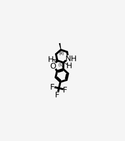 C[C@H]1CN[C@H]2c3ccc(C(F)(F)F)cc3O[C@H]2C1